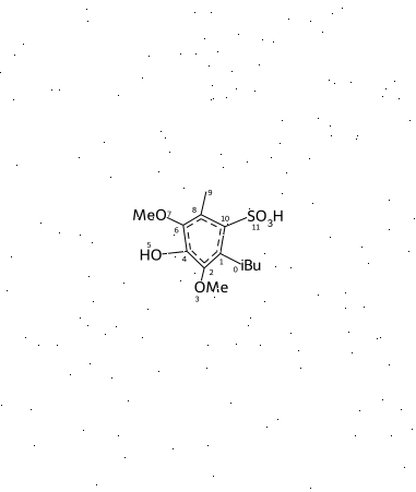 CCC(C)c1c(OC)c(O)c(OC)c(C)c1S(=O)(=O)O